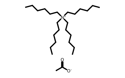 CC(=O)[O-].CCCCCC[N+](CCCCCC)(CCCCCC)CCCCCC